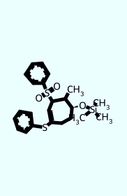 CC1C(S(=O)(=O)c2ccccc2)C=C(Sc2ccccc2)CC[C@H]1O[Si](C)(C)C